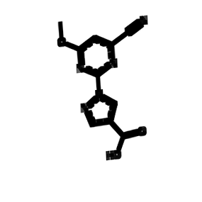 COc1cc(C#N)nc(-n2cc(C(=O)O)cn2)n1